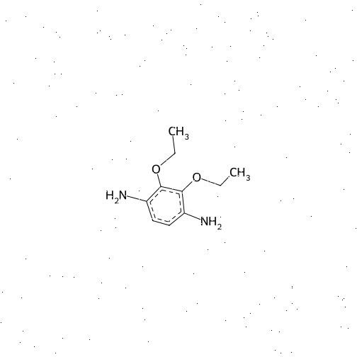 CCOc1c(N)ccc(N)c1OCC